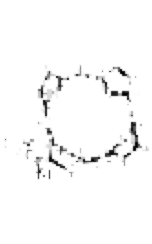 C1=Cc2cc3ccc(cc4nc(cc5ccc(cc1n2)[nH]5)C=C4)[nH]3.[NH2][Cu][N+](=O)[O-]